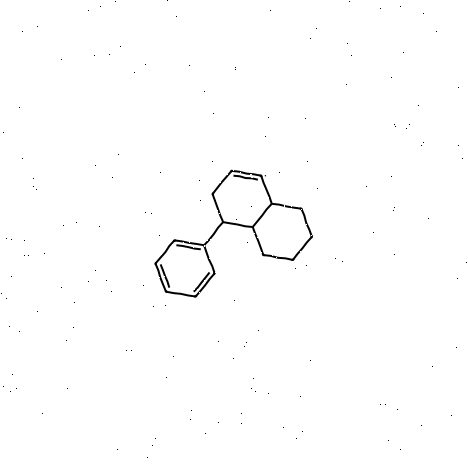 [C]1=CCC(c2ccccc2)C2CCCCC12